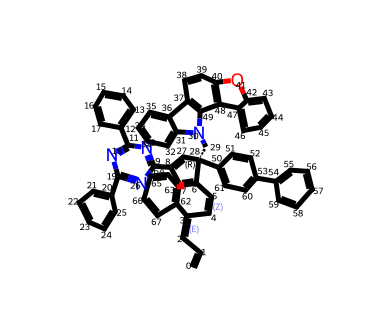 C=C/C=C(\C=C/C1=CC(c2nc(-c3ccccc3)nc(-c3ccccc3)n2)=C[C@@]1(Cn1c2ccccc2c2ccc3oc4ccccc4c3c21)c1ccc(-c2ccccc2)cc1)c1ccccc1